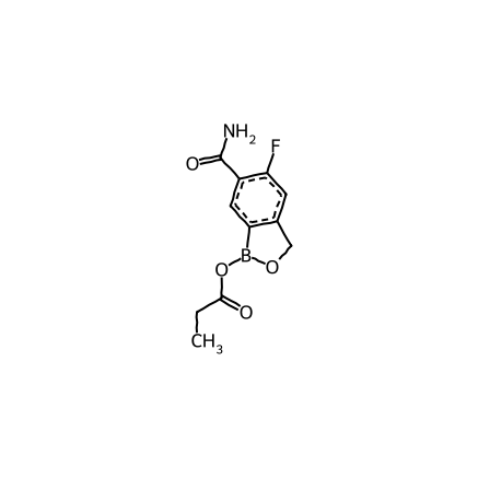 CCC(=O)OB1OCc2cc(F)c(C(N)=O)cc21